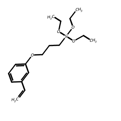 C=Cc1cccc(OCCC[Si](OCC)(OCC)OCC)c1